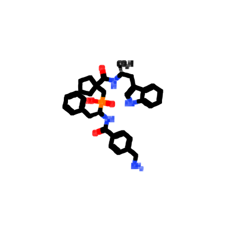 NCc1ccc(C(=O)N[C@@H](Cc2ccccc2)P(=O)(O)CC2(C(=O)N[C@@H](Cc3c[nH]c4ccccc34)C(=O)O)CCCC2)cc1